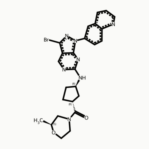 C[C@H]1CN(C(=O)[C@@H]2CC[C@@H](Nc3ncc4c(Br)nn(-c5ccc6ncccc6c5)c4n3)C2)CCO1